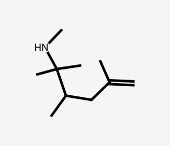 C=C(C)CC(C)C(C)(C)NC